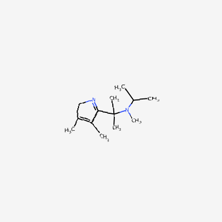 CC1=C(C)C(C(C)(C)N(C)C(C)C)=NC1